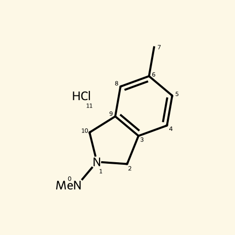 CNN1Cc2ccc(C)cc2C1.Cl